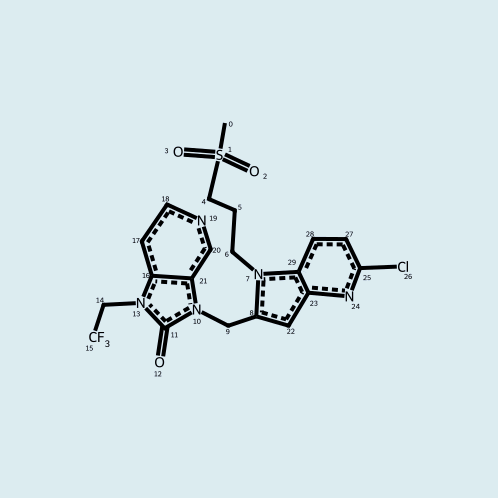 CS(=O)(=O)CCCn1c(Cn2c(=O)n(CC(F)(F)F)c3ccncc32)cc2nc(Cl)ccc21